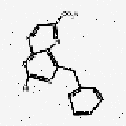 Nc1nc(Cc2ccccc2)c2nc(C(=O)O)cnc2n1